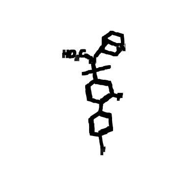 CC(C)(c1ccc(-c2ccc(F)cc2)c(F)c1)N(C(=O)O)C1CN2CCC1CC2